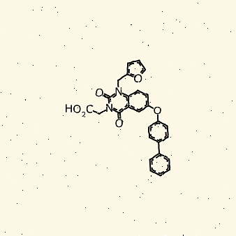 O=C(O)Cn1c(=O)c2cc(Oc3ccc(-c4ccccc4)cc3)ccc2n(Cc2ccco2)c1=O